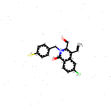 C=Cc1c(C=O)n(Cc2ccc(S)cc2)c(=O)c2ccc(Cl)cc12